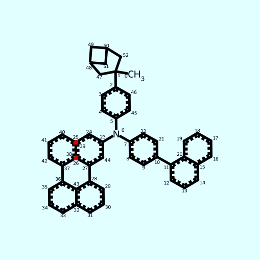 CC1(c2ccc(N(c3ccc(-c4cccc5ccccc45)cc3)c3cccc(-c4cccc5cccc(-c6ccccc6)c45)c3)cc2)CC2CC(C2)C1